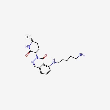 C=C1CCC(n2ncc3cccc(NCCCCCN)c3c2=O)C(=O)N1